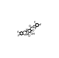 O=C(NCc1c(F)cc(F)cc1F)c1cn2c(c(O)c1=O)C(=O)N1Cc3cc(F)c(F)cc3C[C@@H]2C1